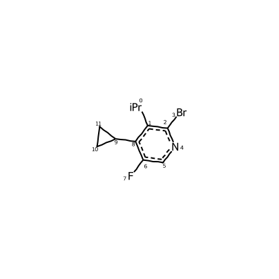 CC(C)c1c(Br)ncc(F)c1C1CC1